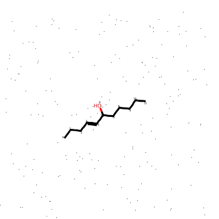 CCCC=CC(O)CCCCC